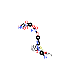 COc1c(C#N)ccc(N2C(=O)C(C)(C)N(c3ccc(-c4ccc(OCCNC(=O)COc5ccc6c(c5)C(=O)N(C5CCC(=O)NC5=O)C6=O)cc4)nc3)C2=S)c1F